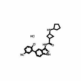 Cl.N#Cc1ccc(Cl)c(-c2ccc3[nH]nc(NC(=O)C4CC(NC5CCCC5)C4)c3c2)c1